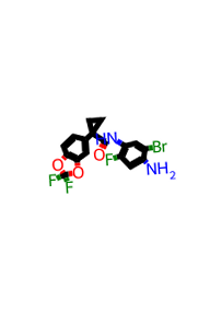 Nc1cc(F)c(NC(=O)C2(c3ccc4c(c3)OC(F)(F)O4)CC2)cc1Br